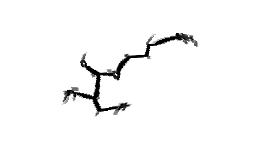 CC(C)CC(C(=O)OCCCN)C(C)C